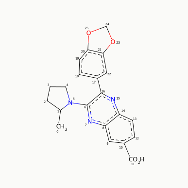 CC1CCCN1c1nc2cc(C(=O)O)ccc2nc1-c1ccc2c(c1)OCO2